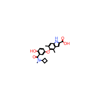 Cc1cc2[nH]c(C(=O)O)cc2c(C)c1Oc1ccc(O)c(C(=O)N(C)C2CCC2)c1